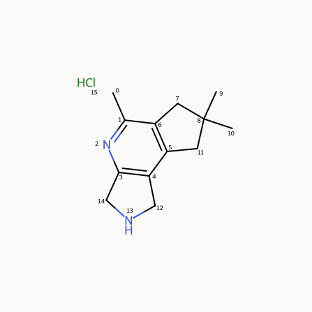 Cc1nc2c(c3c1CC(C)(C)C3)CNC2.Cl